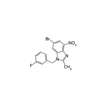 Cc1nc2c([N+](=O)[O-])cc(Br)cc2n1Cc1cccc(F)c1